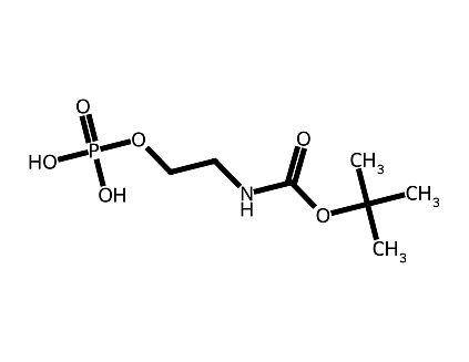 CC(C)(C)OC(=O)NCCOP(=O)(O)O